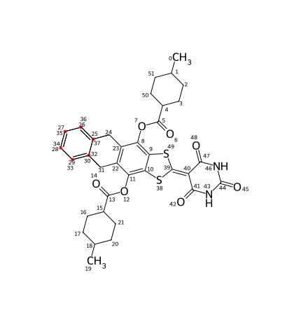 CC1CCC(C(=O)Oc2c3c(c(OC(=O)C4CCC(C)CC4)c4c2C2c5ccccc5C4c4ccccc42)SC(=C2C(=O)NC(=O)NC2=O)S3)CC1